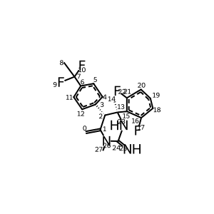 C=C1[C@H](c2ccc(C(C)(F)F)cc2)[C@@](C)(c2c(F)cccc2F)NC(=N)N1C